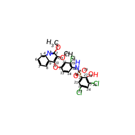 COc1nc2ccccc2c(Oc2ccc(NS(=O)(=O)c3cc(Cl)cc(Cl)c3O)c(F)c2)c1OC